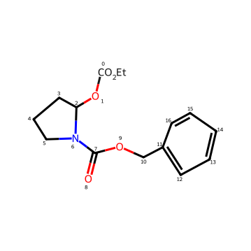 CCOC(=O)OC1CCCN1C(=O)OCc1ccccc1